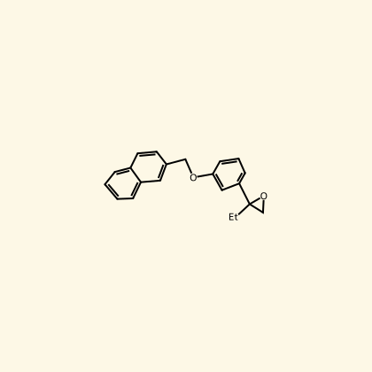 CCC1(c2cccc(OCc3ccc4ccccc4c3)c2)CO1